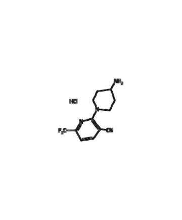 Cl.N#Cc1ccc(C(F)(F)F)nc1N1CCC(N)CC1